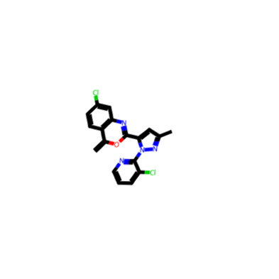 C=C1OC(c2cc(C)nn2-c2ncccc2Cl)=Nc2cc(Cl)ccc21